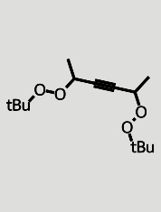 CC(C#CC(C)OOC(C)(C)C)OOC(C)(C)C